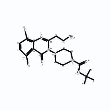 CC(C)(C)OC(=O)N1CCN(n2c(CCN)nc3c(F)ccc(F)c3c2=O)CC1